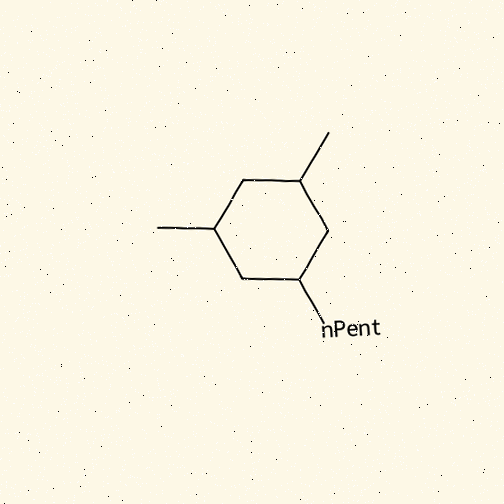 CCC[CH]CC1CC(C)CC(C)C1